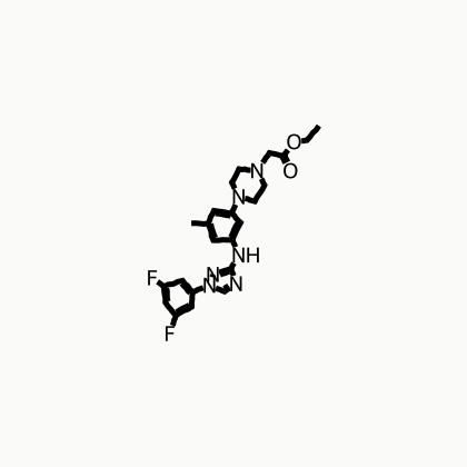 CCOC(=O)CN1CCN(c2cc(C)cc(Nc3ncn(-c4cc(F)cc(F)c4)n3)c2)CC1